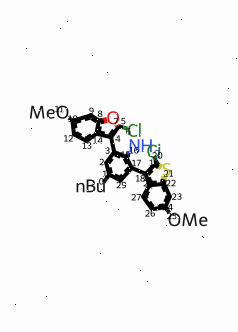 CCCCc1cc(-c2c(Cl)oc3cc(OC)ccc23)c(N)c(-c2c(Cl)sc3cc(OC)ccc23)c1